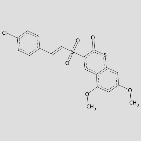 COc1cc(OC)c2cc(S(=O)(=O)C=Cc3ccc(Cl)cc3)c(=O)sc2c1